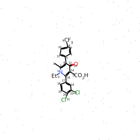 CCn1c(C)c(-c2ccc(C(F)(F)F)cc2)c(=O)c(C(=O)O)c1-c1ccc(Cl)c(Cl)c1